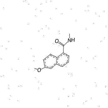 CNC(=O)c1cccc2cc(OC)ccc12